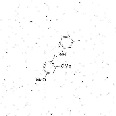 COc1ccc(CNc2cc(C)ncn2)c(OC)c1